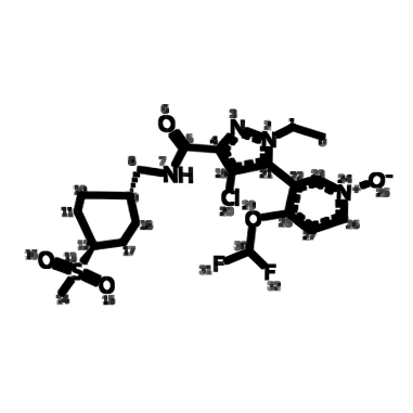 CCn1nc(C(=O)NC[C@H]2CC[C@H](S(C)(=O)=O)CC2)c(Cl)c1-c1c[n+]([O-])ccc1OC(F)F